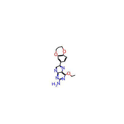 CCOc1nc(N)nc2ncc(-c3ccc4c(c3)OCCCO4)nc12